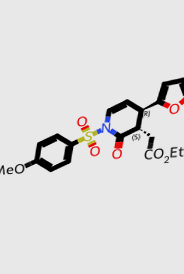 CCOC(=O)C[C@@H]1C(=O)N(S(=O)(=O)c2ccc(OC)cc2)C=C[C@H]1c1ccco1